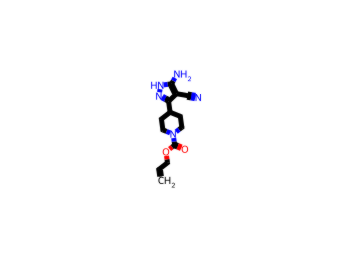 C=CCOC(=O)N1CCC(c2n[nH]c(N)c2C#N)CC1